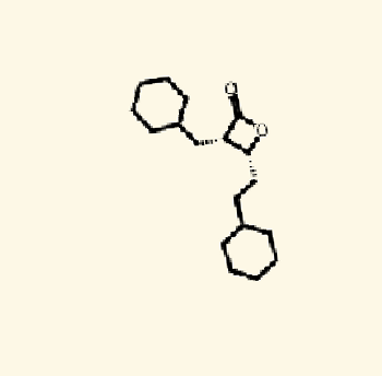 O=C1O[C@H](CCC2CCCCC2)[C@@H]1CC1CCCCC1